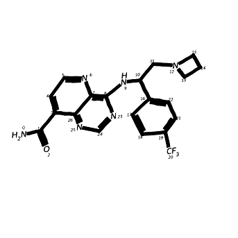 NC(=O)c1ccnc2c(NC(CN3CCC3)c3ccc(C(F)(F)F)cc3)ncnc12